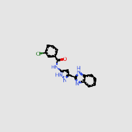 O=C(Nc1cc(-c2nc3ccccc3[nH]2)n[nH]1)c1cccc(Cl)c1